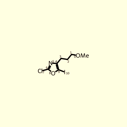 COCCCc1nc(Cl)oc1I